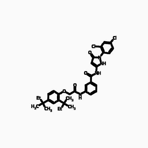 CCC(C)(C)c1ccc(OCC(=O)Nc2cccc(C(=O)Nc3cc(=O)n(-c4ccc(Cl)cc4Cl)[nH]3)c2)c(C(C)(C)CC)c1